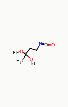 CC[O][Ti]([CH3])([CH2]CN=C=O)[O]CC